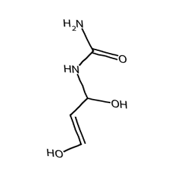 NC(=O)NC(O)C=CO